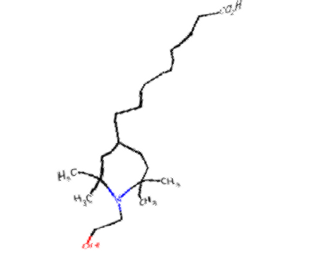 CC1(C)CC(CCCCCCCC(=O)O)CC(C)(C)N1CCO